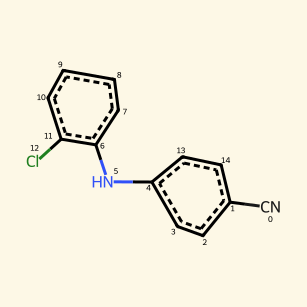 N#Cc1ccc(Nc2ccccc2Cl)cc1